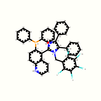 Fc1c(F)c(F)c(Cn2c(-c3c(P(c4ccccc4)c4ccccc4)ccc4ncccc34)nc(-c3ccccc3)c2-c2ccccc2)c(F)c1F